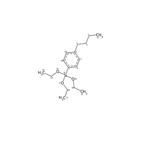 CCCCc1ccc([Si](OCC)(OCC)OCC)cc1